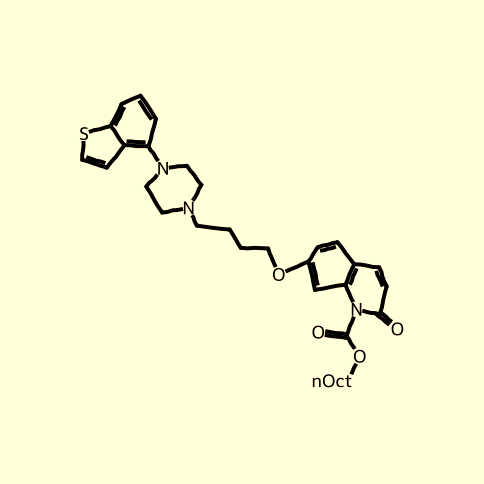 CCCCCCCCOC(=O)n1c(=O)ccc2ccc(OCCCCN3CCN(c4cccc5sccc45)CC3)cc21